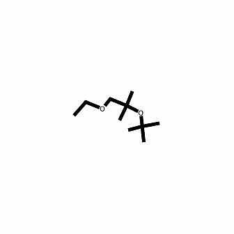 CCOCC(C)(C)OC(C)(C)C